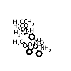 CCOC(=O)c1ccccc1C1CN(C(=O)[C@H]2CC[C@H](C(CC)NC(=O)OC(C)(C)C)CC2)[C@H](C(N)=O)[C@@H]1C1CCCCC1